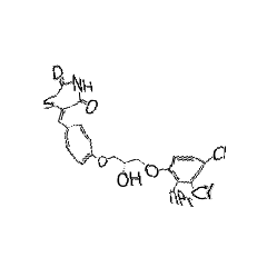 CCCc1c(OC[C@H](O)COc2ccc(C=C3SC(=O)NC3=O)cc2)ccc(Cl)c1Cl